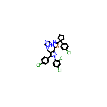 Clc1ccc(-c2c(Cn3cncn3)c(-c3nnc(C4(c5ccc(Cl)cc5)CCCC4)s3)nn2-c2ccc(Cl)cc2Cl)cc1